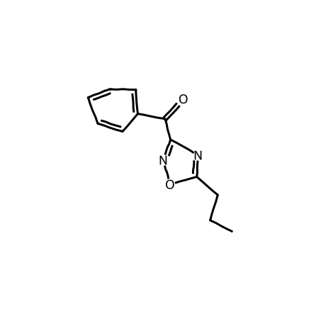 CCCc1nc(C(=O)c2ccccc2)no1